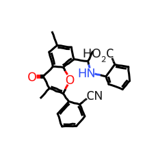 Cc1cc(C(C)Nc2ccccc2C(=O)O)c2oc(-c3ccccc3C#N)c(C)c(=O)c2c1